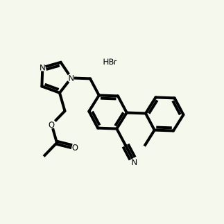 Br.CC(=O)OCc1cncn1Cc1ccc(C#N)c(-c2ccccc2C)c1